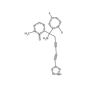 Cn1cccc(C(N)(CC#CC#Cc2cc[nH]c2)c2cc(F)ccc2F)c1=O